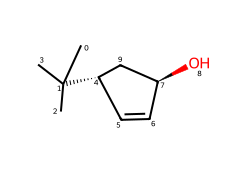 CC(C)(C)[C@H]1C=C[C@H](O)C1